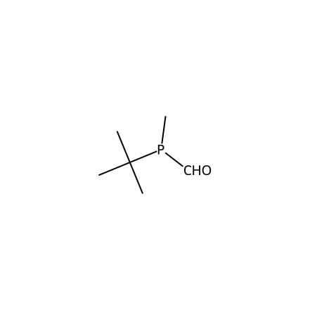 CP(C=O)C(C)(C)C